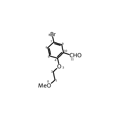 COCCOc1ccc(Br)cc1C=O